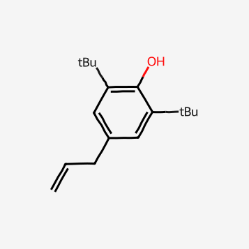 C=CCc1cc(C(C)(C)C)c(O)c(C(C)(C)C)c1